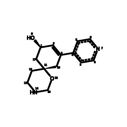 O[C@H]1C=C(c2ccncc2)C[C@]2(CCNCO2)C1